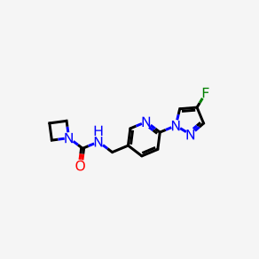 O=C(NCc1ccc(-n2cc(F)cn2)nc1)N1CCC1